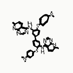 Cc1ccc2c(Nc3cc(-c4ccc(Sc5ccc(N(C)C)cc5)c(Nc5ncnc6nc(C)ccc56)c4)ccc3Sc3ccc(N(C)C)cc3)ncnc2n1